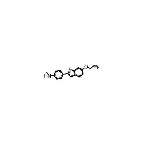 CNc1ccc(-c2cc3ccc(OCC[18F])cc3s2)cc1